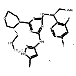 CCOC(=O)NC[C@@H]1COCCN1c1nc(Nc2cc(C)[nH]n2)nc(N[C@@H](COC)c2ncc(F)cc2F)n1